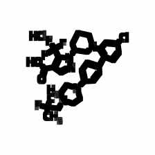 CC(C)(F)CN1CCN(c2ccc(-c3ccc(Cl)cc3N3CCCC(n4ncc(C(=O)O)c4C(F)(F)F)C3)cc2)CC1.Cl